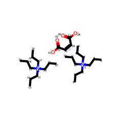 CCC[N+](CCC)(CCC)CCC.CCC[N+](CCC)(CCC)CCC.O=C([O-])/C=C\C(=O)[O-]